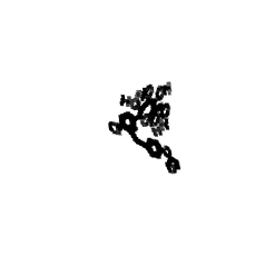 OCC1(O)O[C@@H](c2ccc(Cl)c(Cc3ccc(OC4CCOC4)cc3)c2)[C@H](O)[C@@H](O)[C@@H]1O